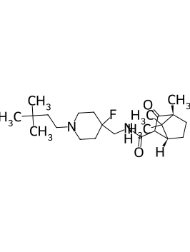 CC(C)(C)CCN1CCC(F)(CNC(=O)C2C(=O)[C@]3(C)CC[C@H]2C3(C)C)CC1